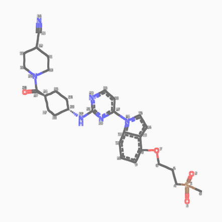 CS(=O)(=O)CCCOc1cccc2c1ccn2-c1ccnc(N[C@H]2CC[C@H](C(=O)N3CCC(C#N)CC3)CC2)n1